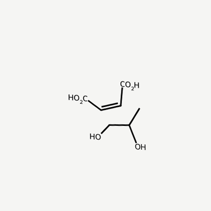 CC(O)CO.O=C(O)/C=C\C(=O)O